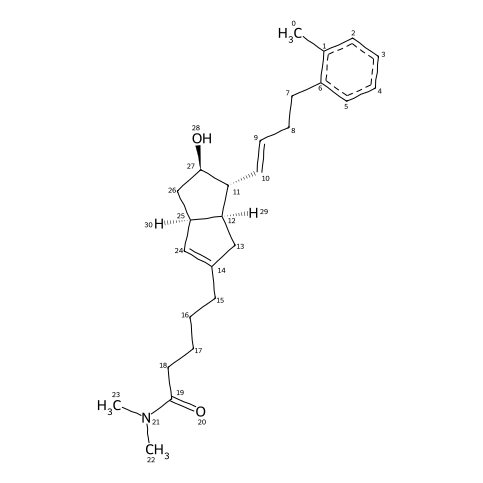 Cc1ccccc1CC/C=C/[C@@H]1[C@H]2CC(CCCCC(=O)N(C)C)=C[C@H]2C[C@H]1O